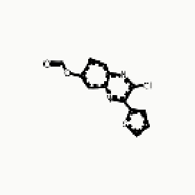 O=COc1ccc2nc(Cl)c(-c3cccs3)nc2c1